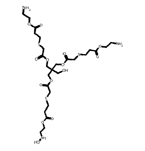 NCCOC(=O)CCSCC(=O)OCC(CO)(COC(=O)CSCCC(=O)OCCN)COC(=O)CSCCC(=O)OCCNO